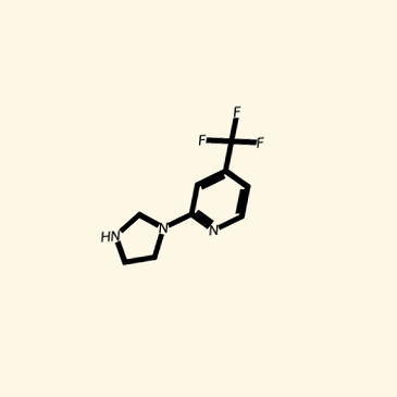 FC(F)(F)c1ccnc(N2CCNC2)c1